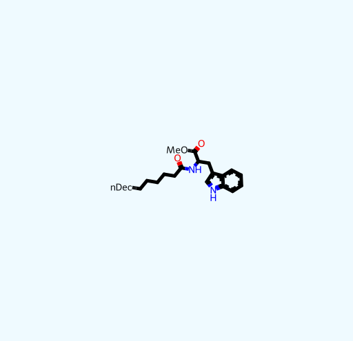 CCCCCCCCCCCCCCCC(=O)NC(Cc1c[nH]c2ccccc12)C(=O)OC